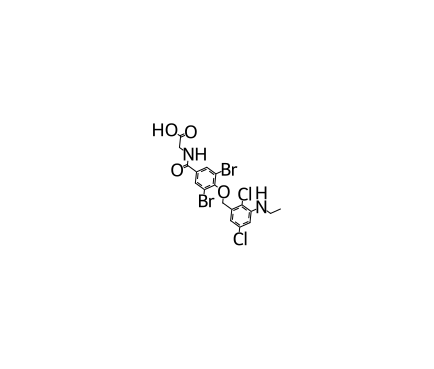 CCNc1cc(Cl)cc(COc2c(Br)cc(C(=O)NCC(=O)O)cc2Br)c1Cl